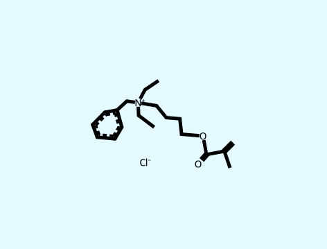 C=C(C)C(=O)OCCCC[N+](CC)(CC)Cc1ccccc1.[Cl-]